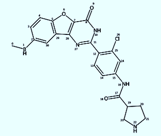 CBc1ccc2oc3c(=O)[nH]c(-c4ccc(NC(=O)C5CCNC5)cc4Cl)nc3c2c1